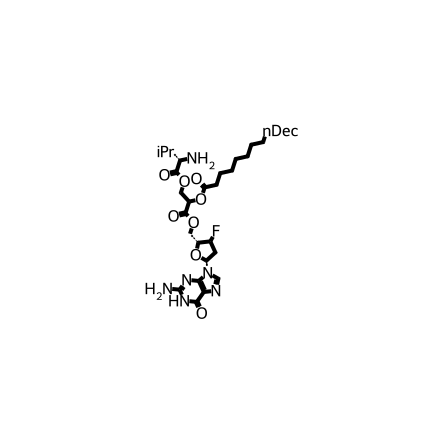 CCCCCCCCCCCCCCCCCC(=O)OC(COC(=O)[C@@H](N)C(C)C)C(=O)OC[C@H]1O[C@@H](n2cnc3c(=O)[nH]c(N)nc32)CC1F